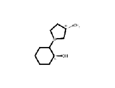 C[C@H]1CCN(C2CCCC[C@@H]2O)C1